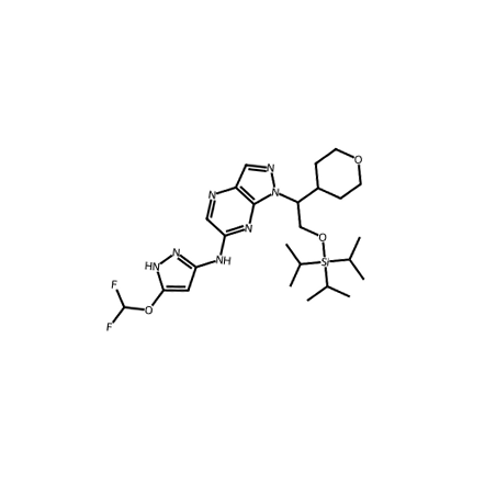 CC(C)[Si](OCC(C1CCOCC1)n1ncc2ncc(Nc3cc(OC(F)F)[nH]n3)nc21)(C(C)C)C(C)C